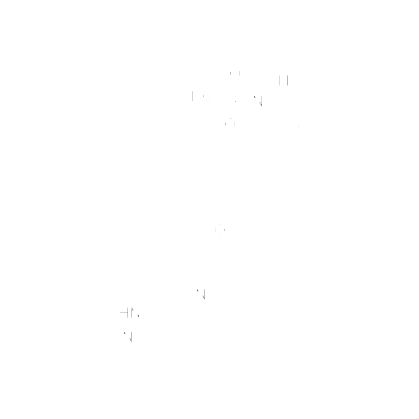 CN(C(=O)Cc1cccc(COc2ccc(-c3ccn[nH]3)nc2)c1)S(C)(=O)=O